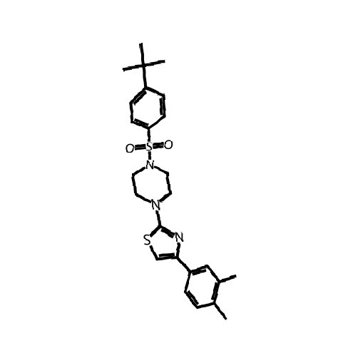 Cc1ccc(-c2csc(N3CCN(S(=O)(=O)c4ccc(C(C)(C)C)cc4)CC3)n2)cc1C